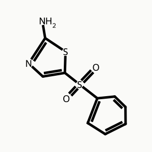 Nc1ncc(S(=O)(=O)c2ccccc2)s1